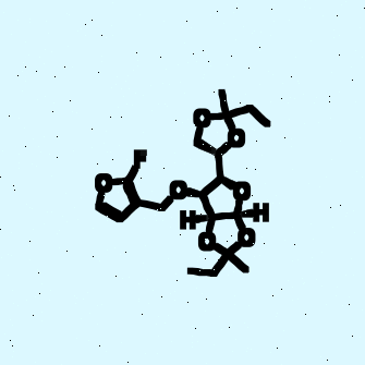 CCC1(C)O[C@H]2O[C@H]([C@H]3COC(C)(CC)O3)[C@H](OCc3ccoc3F)[C@H]2O1